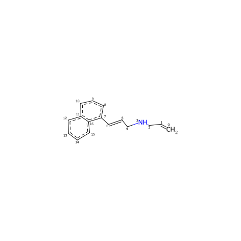 C=CCNCC=Cc1cccc2ccccc12